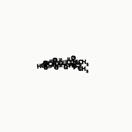 CCCC(C)(C)CN1C(=O)c2ccc(C(=O)c3ccc4c(c3)C(=O)N(c3ccc(S(=O)(=O)O)cc3)C4=O)cc2C1=O